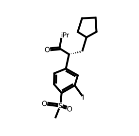 CC(C)C(=O)[C@H](CC1CCCC1)c1ccc(S(C)(=O)=O)c(I)c1